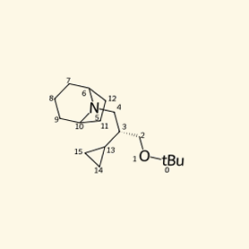 CC(C)(C)OC[C@@H](CN1C2CCCC1CC2)C1CC1